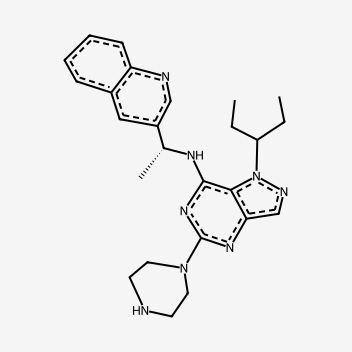 CCC(CC)n1ncc2nc(N3CCNCC3)nc(N[C@H](C)c3cnc4ccccc4c3)c21